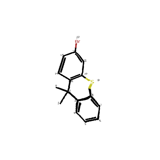 CC1(C)c2ccccc2Sc2cc(Br)ccc21